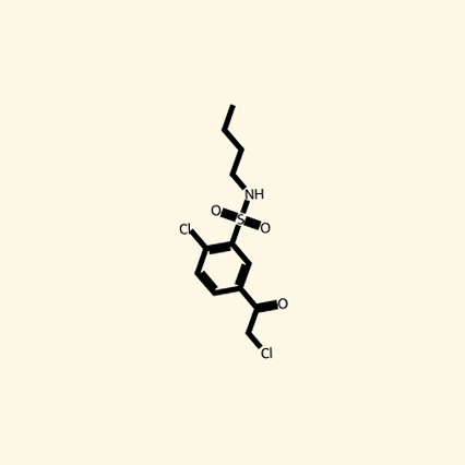 CCCCNS(=O)(=O)c1cc(C(=O)CCl)ccc1Cl